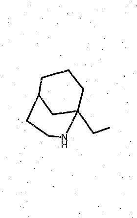 CCC12CCCC(CCN1)C2